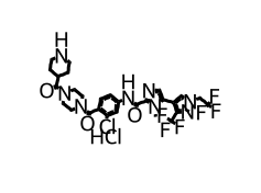 Cl.Cn1c(-c2cn(CC(F)(F)F)nc2C(F)(F)F)cnc1C(=O)Nc1ccc(C(=O)N2CCN(C(=O)C3CCNCC3)CC2)c(Cl)c1